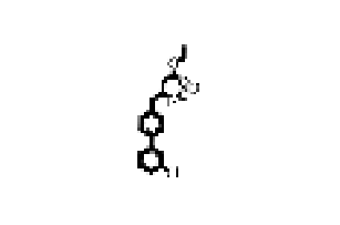 CCOC(=O)CC(Cc1ccc(-c2cccc(Cl)c2)cc1)N=C=O